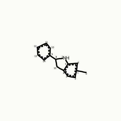 Cc1ccc2c(c1)NC(c1ccccc1)C2